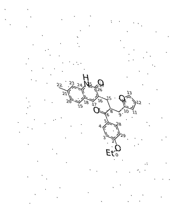 CCOc1ccc(C(=O)C(Cc2ccco2)Cc2cc3ccc(C)cc3[nH]c2=O)cc1